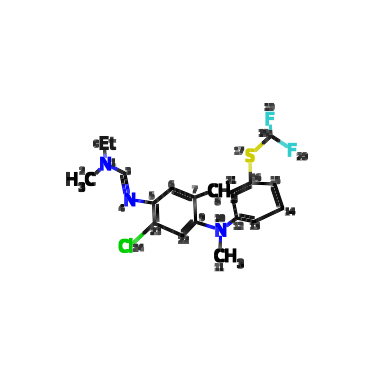 CCN(C)C=Nc1cc(C)c(N(C)c2cccc(SC(F)F)c2)cc1Cl